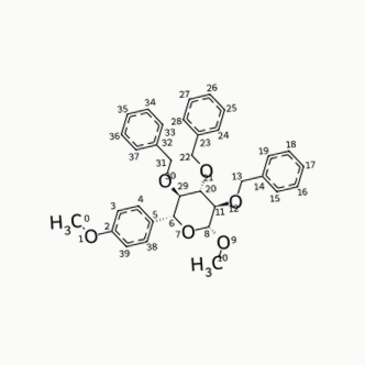 COc1ccc([C@H]2O[C@@H](OC)[C@H](OCc3ccccc3)[C@@H](OCc3ccccc3)[C@@H]2OCc2ccccc2)cc1